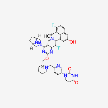 C#Cc1c(F)ccc2cc(O)cc(-c3ncc4c(N5C[C@H]6CC[C@@H](C5)N6)nc(OC[C@@H]5CCCCN5Cc5ccc(N6CCC(=O)NC6=O)cn5)nc4c3F)c12